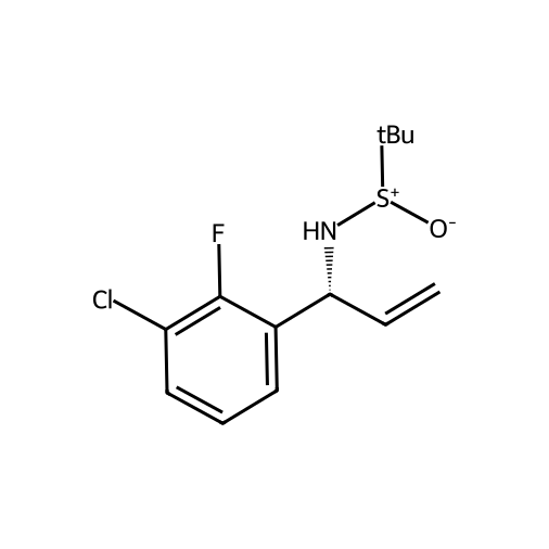 C=C[C@@H](N[S+]([O-])C(C)(C)C)c1cccc(Cl)c1F